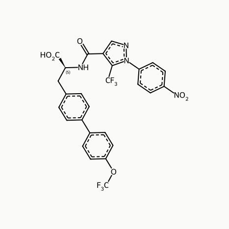 O=C(N[C@@H](Cc1ccc(-c2ccc(OC(F)(F)F)cc2)cc1)C(=O)O)c1cnn(-c2ccc([N+](=O)[O-])cc2)c1C(F)(F)F